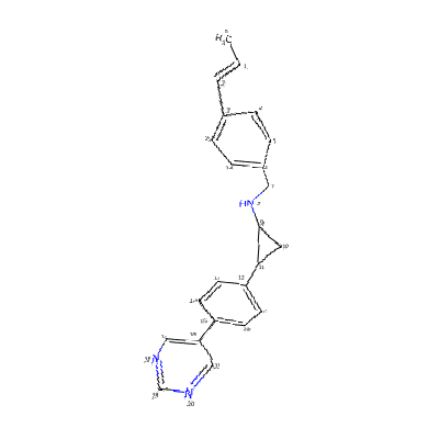 C/C=C/c1ccc(CNC2CC2c2ccc(-c3cncnc3)cc2)cc1